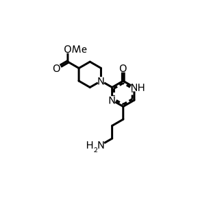 COC(=O)C1CCN(c2nc(CCCN)c[nH]c2=O)CC1